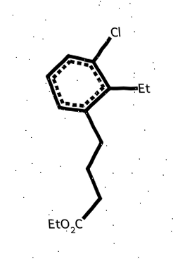 CCOC(=O)CCCc1cccc(Cl)c1CC